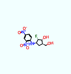 O=[N+]([O-])c1ccc(N[C@@H]2C[C@H](CO)[C@@H](O)[C@H]2F)c([N+](=O)[O-])c1